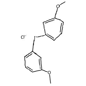 COc1cccc([I+]c2cccc(OC)c2)c1.[Cl-]